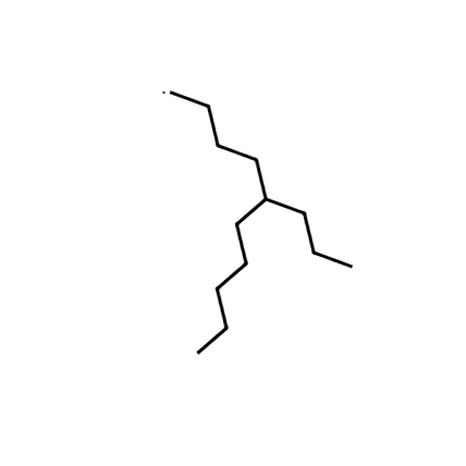 [CH2]CCCC(CCC)CCCCC